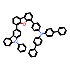 c1ccc(-c2ccc(N(c3ccc(-c4ccccc4)cc3)c3ccc(-c4cccc5c4oc4c(-c6ccc7c(c6)c6ccccc6n7-c6ccccc6)cccc45)cc3)cc2)cc1